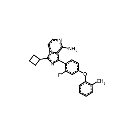 Cc1ccccc1Oc1ccc(-c2nc(C3CCC3)n3ccnc(N)c23)c(F)c1